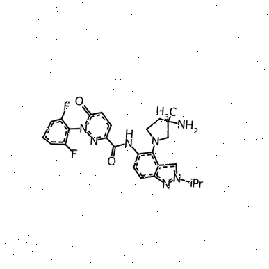 CC(C)n1cc2c(N3CCC(C)(N)C3)c(NC(=O)c3ccc(=O)n(-c4c(F)cccc4F)n3)ccc2n1